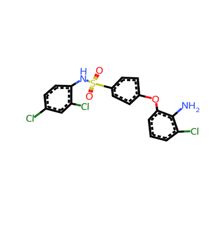 Nc1c(Cl)cccc1Oc1ccc(S(=O)(=O)Nc2ccc(Cl)cc2Cl)cc1